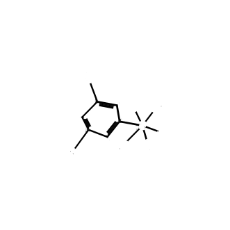 Nc1cc(Br)cc(S(F)(F)(F)(F)F)c1